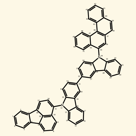 c1ccc2c(c1)-c1cccc3c(-n4c5ccccc5c5cc(-c6ccc7c(c6)c6ccccc6n7-c6cc7ccc8ccccc8c7c7ccccc67)ccc54)ccc-2c13